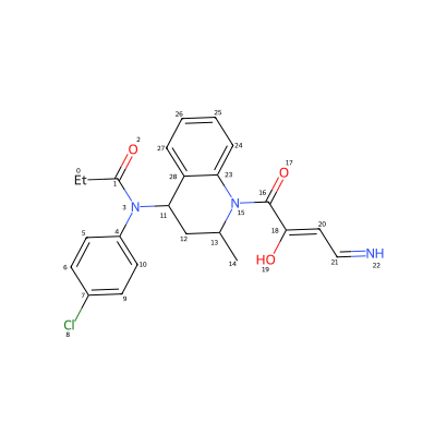 CCC(=O)N(c1ccc(Cl)cc1)C1CC(C)N(C(=O)/C(O)=C/C=N)c2ccccc21